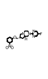 O=[N+]([O-])c1cccc(OC[C@H]2C[C@H]3CN(c4ncc(F)cn4)CCN3C2)c1